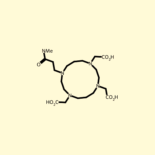 CNC(=O)CCN1CCCN(CC(=O)O)CCN(CC(=O)O)CCCN(CC(=O)O)CC1